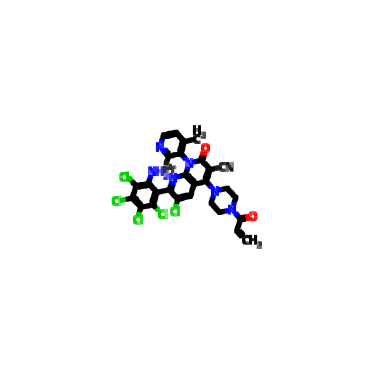 C=CC(=O)N1CCN(c2c(C#N)c(=O)n(-c3c(C)ccnc3C(C)C)c3nc(-c4c(N)c(Cl)c(Cl)c(Cl)c4Cl)c(Cl)cc23)CC1